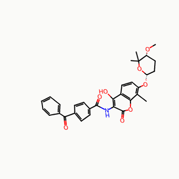 CO[C@@H]1CC[C@H](Oc2ccc3c(O)c(NC(=O)c4ccc(C(=O)c5ccccc5)cc4)c(=O)oc3c2C)OC1(C)C